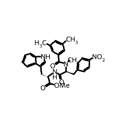 COC(=O)[C@H](Cc1c[nH]c2ccccc12)NC(=O)[C@H](Cc1ccc([N+](=O)[O-])cc1)N(C)C(=O)c1cc(C)cc(C)c1